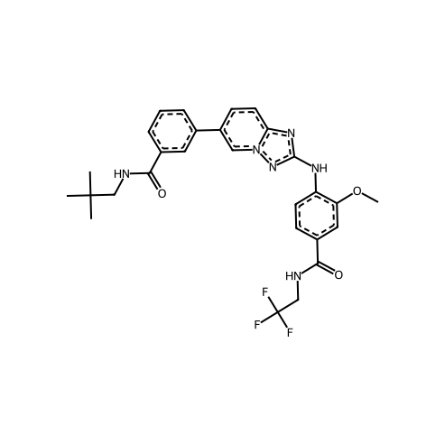 COc1cc(C(=O)NCC(F)(F)F)ccc1Nc1nc2ccc(-c3cccc(C(=O)NCC(C)(C)C)c3)cn2n1